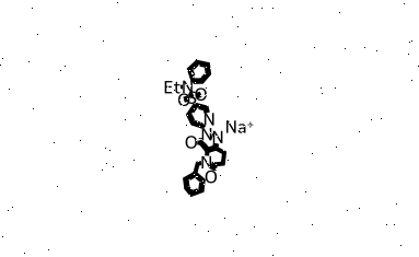 CCN(c1ccccc1)S(=O)(=O)c1ccc(-n2nc3c(c2[O-])N(Cc2ccccc2)C(=O)CC3)nc1.[Na+]